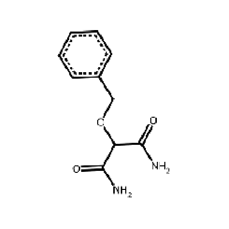 NC(=O)C(OCc1ccccc1)C(N)=O